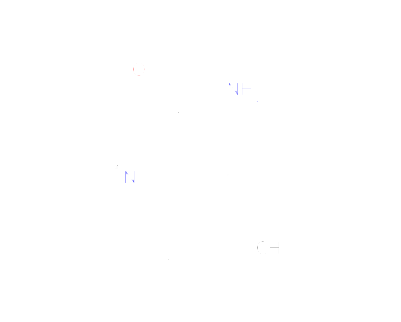 CC1=CCN=C(C(N)=O)C1